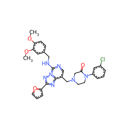 COc1ccc(CNc2ncc(CN3CCN(c4cccc(Cl)c4)C(=O)C3)c3nc(-c4ccco4)nn23)cc1OC